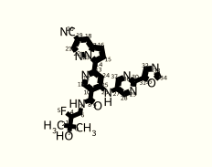 CC(C)(O)C(F)CNC(=O)c1cnc(-c2ccc3cc(C#N)cnn23)cc1Nc1cnc(-c2cnco2)nc1